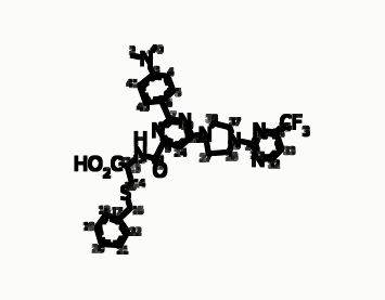 CN(C)c1ccc(-c2nc(C(=O)NC(CSCc3ccccc3)C(=O)O)cc(N3CCN(c4nccc(C(F)(F)F)n4)CC3)n2)cc1